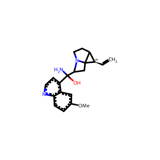 C=C[C@@H]1C2CCN3C(C(N)(O)c4ccnc5ccc(OC)cc45)CC213